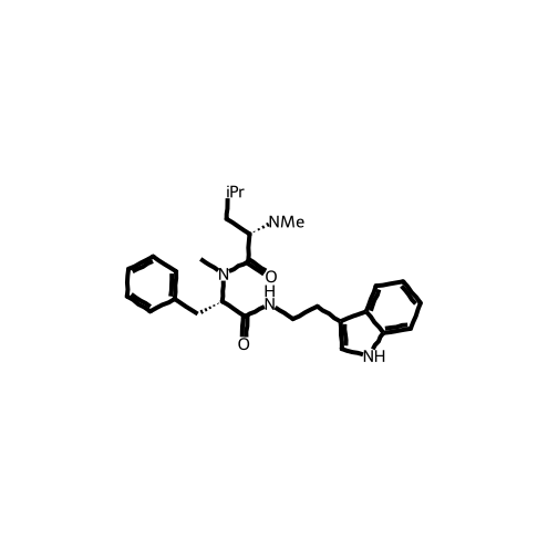 CN[C@@H](CC(C)C)C(=O)N(C)[C@@H](Cc1ccccc1)C(=O)NCCc1c[nH]c2ccccc12